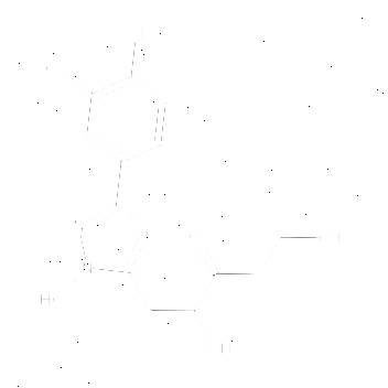 CCOC(=O)C(C)Cc1cc(-c2ccc(Cl)c(Cl)c2)nn1O